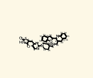 O=C1NC(=O)/C(=C\c2ccnc(N3CCC(CNCc4cc5ccccc5nc4-c4cc5ccccc5o4)CC3)n2)S1